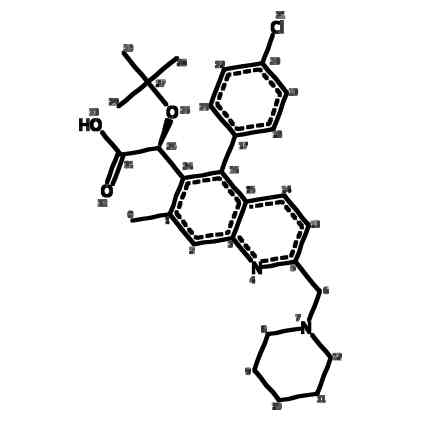 Cc1cc2nc(CN3CCCCC3)ccc2c(-c2ccc(Cl)cc2)c1[C@H](OC(C)(C)C)C(=O)O